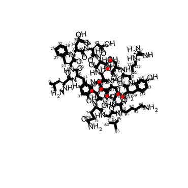 CC(C)C[C@H](NN)C(=O)NC(Cc1ccc(O)cc1)C(=O)N[C@@H](Cc1ccccc1)C(=O)NC(CC(=O)O)C(=O)N[C@@H](CC(=O)O)C(=O)NC(CO)C(=O)N[C@@H](CO)C(=O)NC(CC(N)=O)C(=O)N[C@H](C(=O)NC(CCC(N)=O)C(=O)N[C@@H](CC(C)C)C(=O)NC(CCCCN)C(=O)N[C@@H](CCCCN)C(=O)NC(Cc1ccc(O)cc1)C(=O)N[C@@H](CCCNC(=N)N)C(=O)NC(CO)C(=O)O)C(C)C